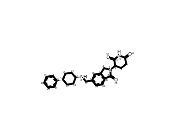 O=C1CCC(N2Cc3cc(CN[C@H]4CC[C@@H](c5ccccc5)CC4)ccc3C2=O)C(=O)N1